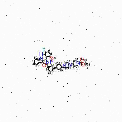 COc1ccc(F)cc1C(NC(=O)c1cccc(-c2ccc(N3CCN(C4CCN(C(=O)OC(C)(C)C)CC4)CC3)cc2)c1)c1cc2ccccc2[nH]1